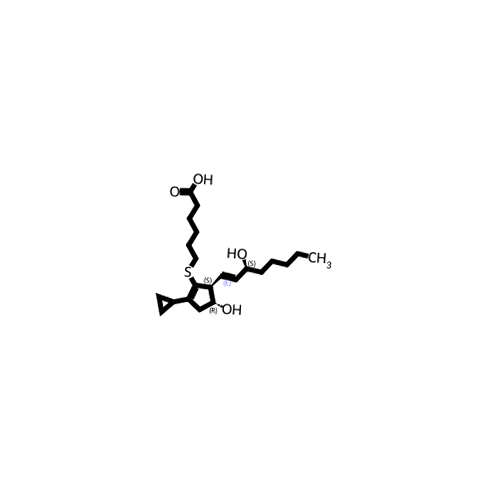 CCCCC[C@H](O)/C=C/[C@@H]1C(SCCCCCC(=O)O)=C(C2CC2)C[C@H]1O